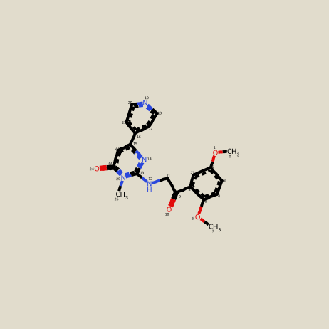 COc1ccc(OC)c(C(=O)CNc2nc(-c3ccncc3)cc(=O)n2C)c1